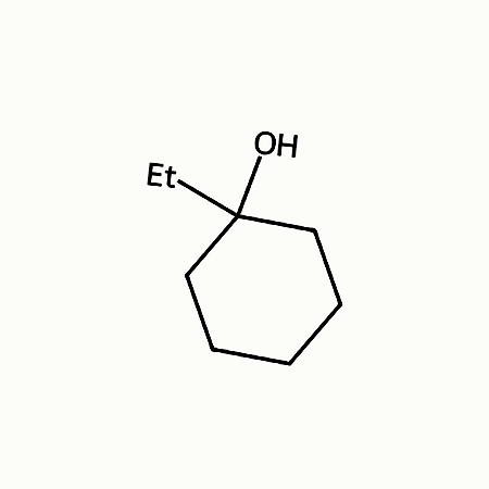 CCC1(O)CCCCC1